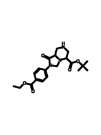 CCOC(=O)c1ccc(N2CN3C(C(=O)OC(C)(C)C)CNCC3C2=O)cc1